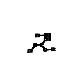 CCO.CCOP(O)OCC